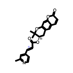 Cc1cc(/C=C/C(=O)O[C@H]2Cc3cc4ccc(=O)oc4cc3OC2(C)C)ccn1